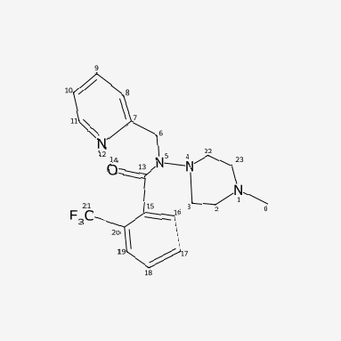 CN1CCN(N(Cc2ccccn2)C(=O)c2ccccc2C(F)(F)F)CC1